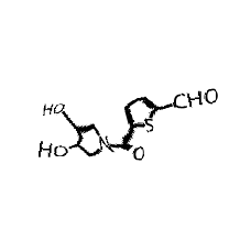 O=Cc1ccc(C(=O)N2CC(O)C(O)C2)s1